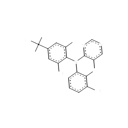 Cc1cccc2c1Oc1cncnc1N2c1c(C)cc(C(C)(C)C)cc1C